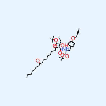 CC#CCOc1ccc(C[C@H](NC(=O)[C@@H](/C=C/CCCCCCC(=O)CCCCCCC)[C@@](O)(CCC)C(=O)OC(C)(C)C)C(=O)OC(C)(C)C)cc1